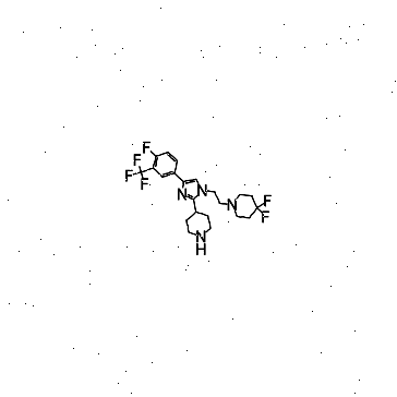 Fc1ccc(-c2cn(CCN3CCC(F)(F)CC3)c(C3CCNCC3)n2)cc1C(F)(F)F